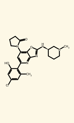 Cc1cc(Cl)cc(O)c1-c1cc(N2CCCC2=O)c2oc(N[C@@H]3CCCN(C)C3)nc2n1